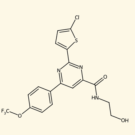 O=C(NCCO)c1cc(-c2ccc(OC(F)(F)F)cc2)nc(-c2ccc(Cl)s2)n1